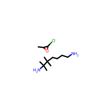 CC(C)(N)C(C)(C)CCCCN.CC1OC1Cl